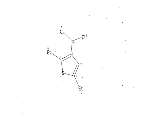 CCc1cc(C(Cl)Cl)c(CC)s1